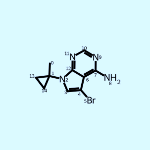 CC1(n2cc(Br)c3c(N)ncnc32)CC1